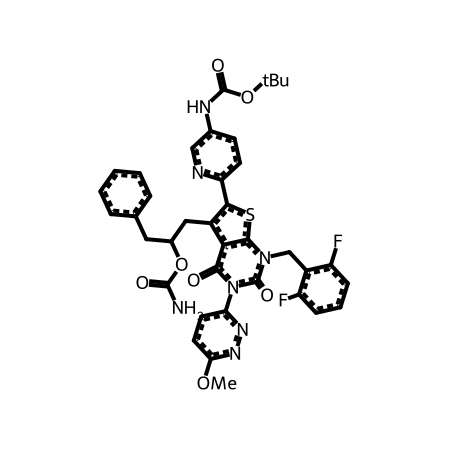 COc1ccc(-n2c(=O)c3c(CC(Cc4ccccc4)OC(N)=O)c(-c4ccc(NC(=O)OC(C)(C)C)cn4)sc3n(Cc3c(F)cccc3F)c2=O)nn1